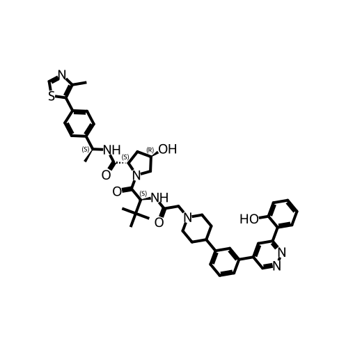 Cc1ncsc1-c1ccc([C@H](C)NC(=O)[C@@H]2C[C@@H](O)CN2C(=O)[C@@H](NC(=O)CN2CCC(c3cccc(-c4cnnc(-c5ccccc5O)c4)c3)CC2)C(C)(C)C)cc1